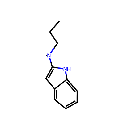 CCC[N]c1cc2ccccc2[nH]1